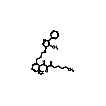 CCCCCNC(=O)Nc1c(C)cccc1CCCSn1cnc(-c2ccccc2)c1C